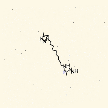 C/C(=C/NCCCCCCCCCCn1cc(C)nn1)N=N